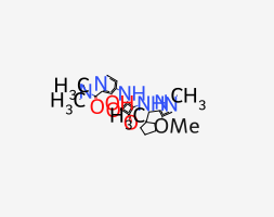 COc1cn(C)nc1C(Nc1c(Nc2ccnc(C(=O)N(C)C)c2O)c(=O)c1=O)C1(C)CCCC1